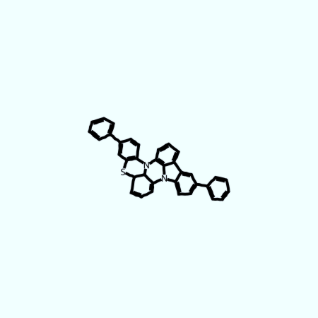 C1=CC2Sc3cc(-c4ccccc4)ccc3N3c4cccc5c6cc(-c7ccccc7)ccc6n(c45)C(=C1)C23